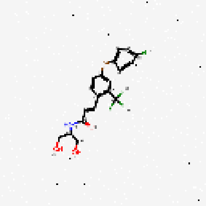 O=C(/C=C/c1ccc(Sc2ccc(F)cc2)cc1C(F)(F)F)NC(CO)CO